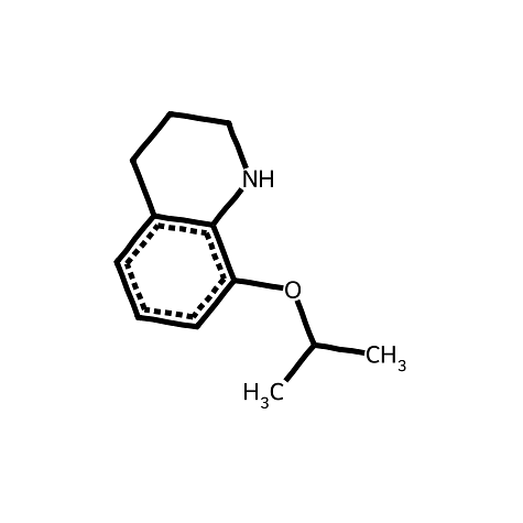 CC(C)Oc1cccc2c1NCCC2